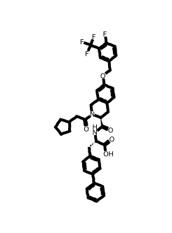 O=C(O)[C@H](Cc1ccc(-c2ccccc2)cc1)NC(=O)[C@@H]1Cc2ccc(OCc3ccc(F)c(C(F)(F)F)c3)cc2CN1C(=O)CC1CCCC1